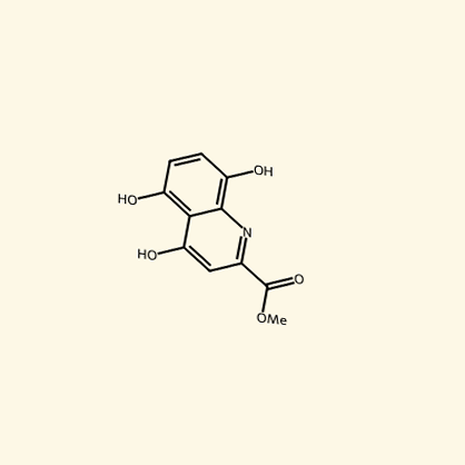 COC(=O)c1cc(O)c2c(O)ccc(O)c2n1